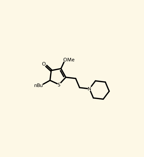 CCCCC1SC(CCN2CCCCC2)=C(OC)C1=O